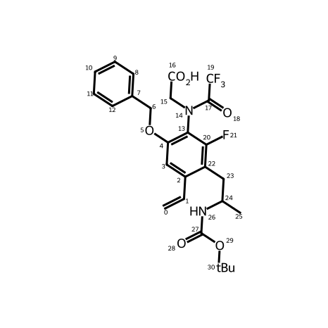 C=Cc1cc(OCc2ccccc2)c(N(CC(=O)O)C(=O)C(F)(F)F)c(F)c1CC(C)NC(=O)OC(C)(C)C